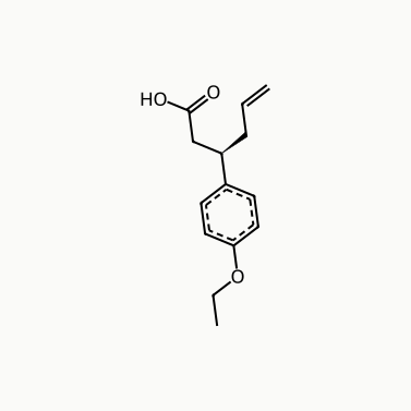 C=CC[C@H](CC(=O)O)c1ccc(OCC)cc1